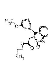 CCCOC(=O)Cc1c(Cl)nc2ccccc2c1-c1cccc(OC)c1